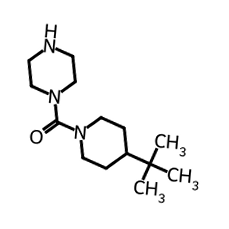 CC(C)(C)C1CCN(C(=O)N2CCNCC2)CC1